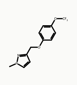 Cn1ccc(COc2ccc(OC(F)(F)F)cc2)n1